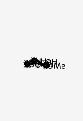 COc1ccc(C=CC(=O)Nc2cccc(Oc3ccccc3)c2)cc1O